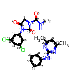 CC(C)NC(=O)N1CC(=O)N(c2cc(Cl)cc(Cl)c2)C1=O.Cc1cc(C)nc(Nc2ccccc2)n1